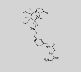 C=C[C@]1(C)C[C@@H](OC(=O)CSc2cccc(CNC(=O)[C@H](C)NC(=O)[C@H](C)N)c2)[C@]2(C)C(C)CCC3(CCC(=O)C32)[C@@H](C)[C@@H]1O